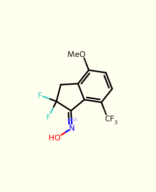 COc1ccc(C(F)(F)F)c2c1CC(F)(F)/C2=N\O